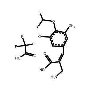 Cc1cc(C=C(CN)C(=O)O)cc(Cl)c1OC(F)F.O=C(O)C(F)(F)F